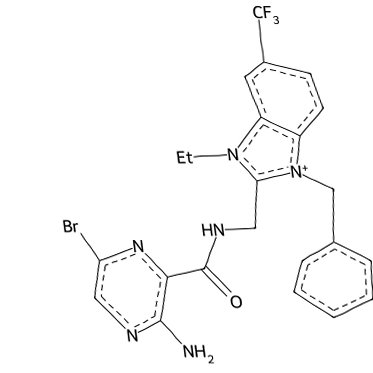 CCn1c(CNC(=O)c2nc(Br)cnc2N)[n+](Cc2ccccc2)c2ccc(C(F)(F)F)cc21